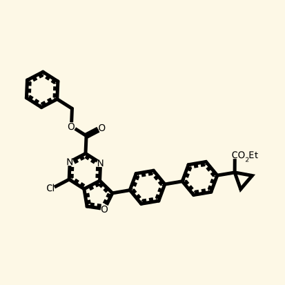 CCOC(=O)C1(c2ccc(-c3ccc(-c4occ5c(Cl)nc(C(=O)OCc6ccccc6)nc45)cc3)cc2)CC1